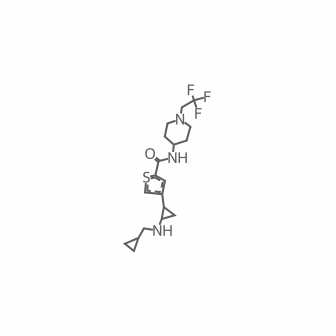 O=C(NC1CCN(CC(F)(F)F)CC1)c1cc(C2CC2NCC2CC2)cs1